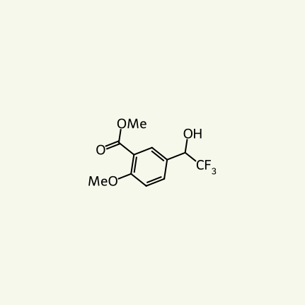 COC(=O)c1cc(C(O)C(F)(F)F)ccc1OC